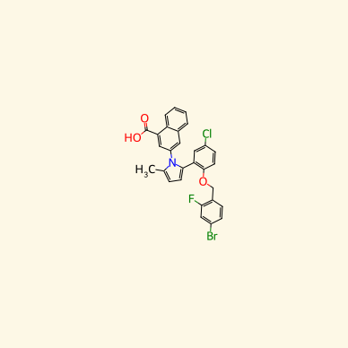 Cc1ccc(-c2cc(Cl)ccc2OCc2ccc(Br)cc2F)n1-c1cc(C(=O)O)c2ccccc2c1